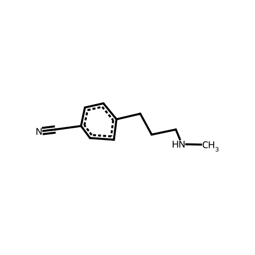 CNCCCc1ccc(C#N)cc1